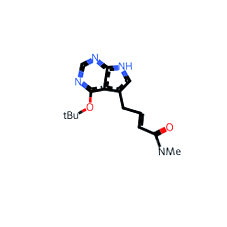 CNC(=O)C=CCc1c[nH]c2ncnc(OC(C)(C)C)c12